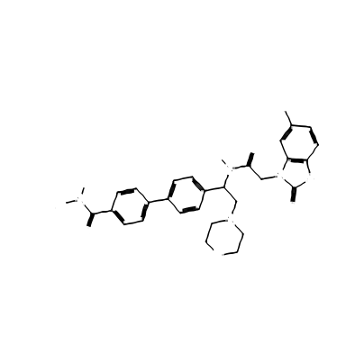 CN(C)C(=O)c1ccc(-c2ccc(C(CN3CCOCC3)N(C)C(=O)Cn3c(=O)oc4ccc(Cl)cc43)cc2)cc1